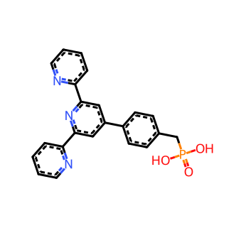 O=P(O)(O)Cc1ccc(-c2cc(-c3ccccn3)nc(-c3ccccn3)c2)cc1